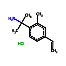 C=Cc1ccc(C(C)(C)N)c(C)c1.Cl